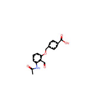 CC(=O)Nc1cccc(OCc2ccc(C(=O)O)cc2)c1C=O